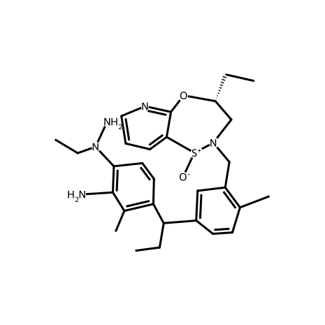 CCC(c1ccc(C)c(CN2C[C@@H](CC)Oc3ncccc3[S+]2[O-])c1)c1ccc(N(N)CC)c(N)c1C